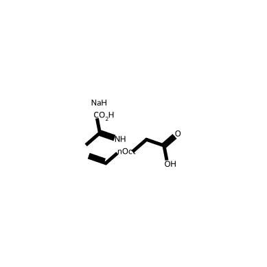 C=CCCCCCCCC.CC(=N)C(=O)O.CCC(=O)O.[NaH]